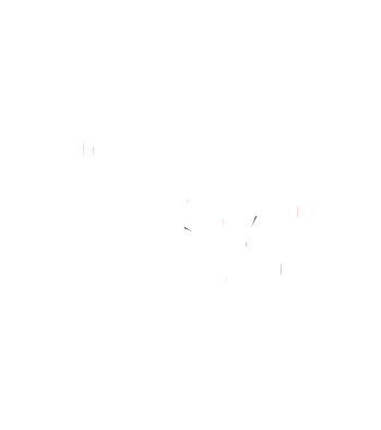 OC[C@@]1(CI)COC[C@@H](COc2ccc(Br)cc2)O1